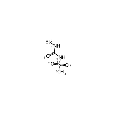 CCNC(=O)NS(C)(=O)=O